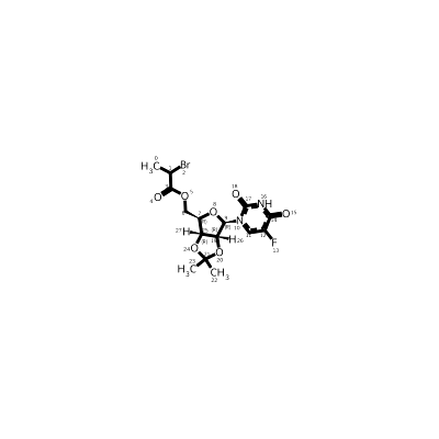 CC(Br)C(=O)OC[C@H]1O[C@@H](n2cc(F)c(=O)[nH]c2=O)[C@@H]2OC(C)(C)O[C@@H]21